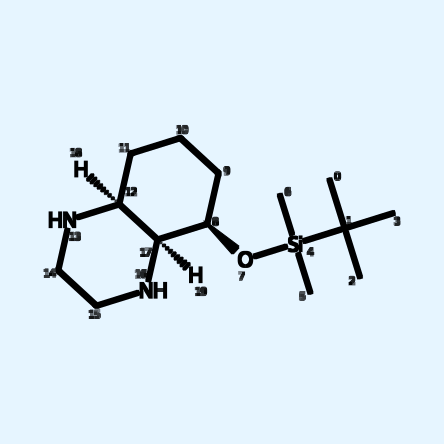 CC(C)(C)[Si](C)(C)O[C@@H]1CCC[C@@H]2NCCN[C@@H]21